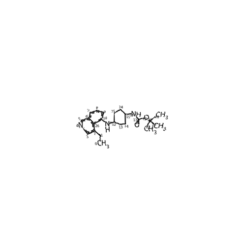 CCc1cncc2cccc(NC3CCC(NC(=O)OC(C)(C)C)CC3)c12